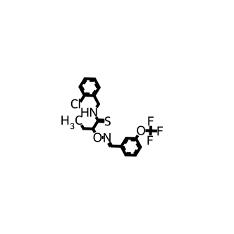 CCC(ON=Cc1cccc(OC(F)(F)F)c1)C(=S)NCc1ccccc1Cl